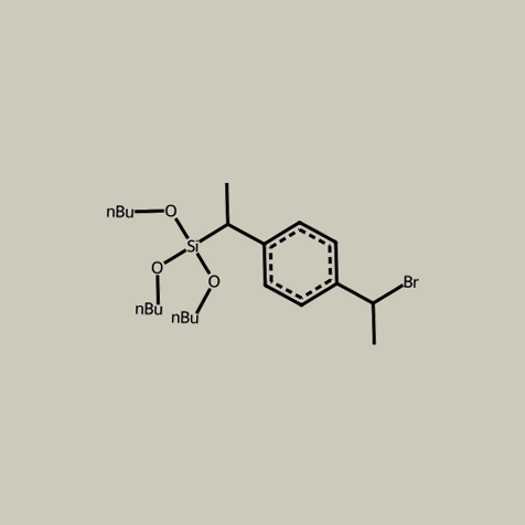 CCCCO[Si](OCCCC)(OCCCC)C(C)c1ccc(C(C)Br)cc1